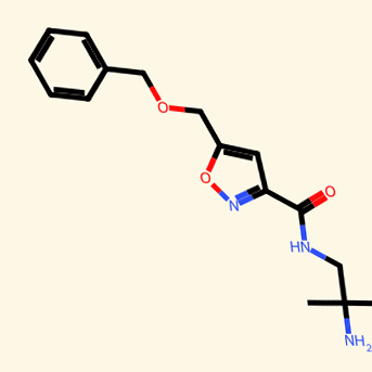 CC(C)(N)CNC(=O)c1cc(COCc2ccccc2)on1